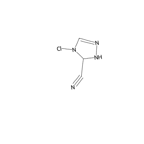 N#CC1NN=CN1Cl